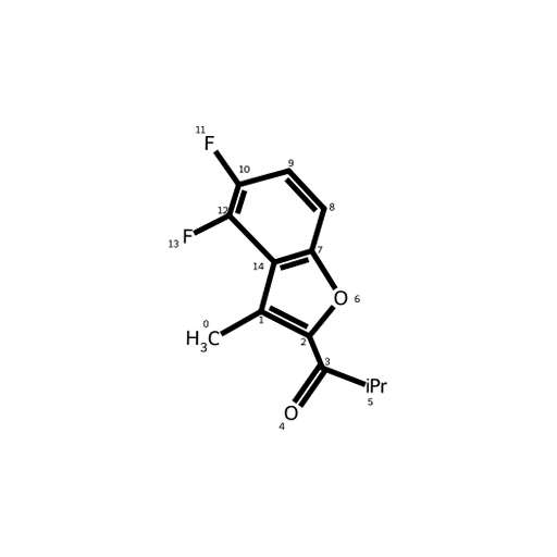 Cc1c(C(=O)C(C)C)oc2ccc(F)c(F)c12